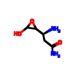 NC(=O)C[C@H](N)C1OC1O